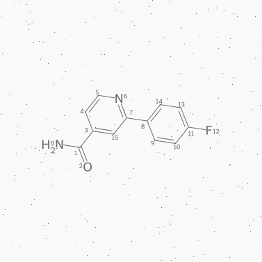 NC(=O)c1ccnc(-c2ccc(F)cc2)c1